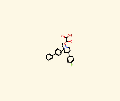 CCC1(c2ccc(-c3ccccc3)cc2)CC(c2ccc(F)cc2)=CCN1OC(=O)C(=O)O